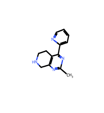 Cc1nc2c(c(-c3ccccn3)n1)CCNC2